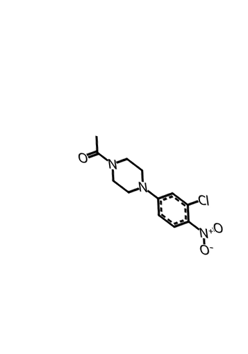 CC(=O)N1CCN(c2ccc([N+](=O)[O-])c(Cl)c2)CC1